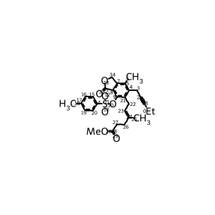 CCC#CCc1c(C)c2c(c(OS(=O)(=O)c3ccc(C)cc3)c1C/C=C(\C)CCC(=O)OC)C(=O)OC2